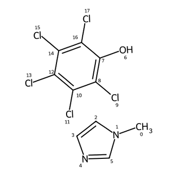 Cn1ccnc1.Oc1c(Cl)c(Cl)c(Cl)c(Cl)c1Cl